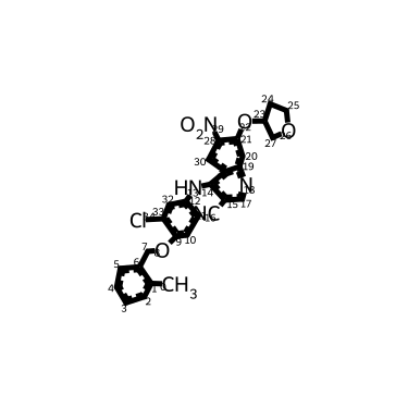 Cc1ccccc1COc1ccc(Nc2c(C#N)cnc3cc(OC4CCOC4)c([N+](=O)[O-])cc23)cc1Cl